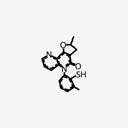 Cc1cccc(-n2c(=O)c3c(c4ncccc42)OC(C)C3)c1S